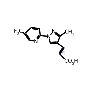 Cc1nn(-c2ccc(C(F)(F)F)cn2)cc1/C=C/C(=O)O